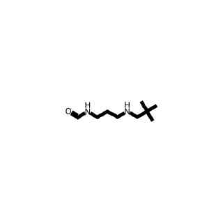 CC(C)(C)CNCCCN[C]=O